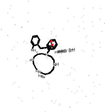 Br.Br.Br.Br.Br.Nc1ccccc1CN1Cc2ccc(cc2)C1N1CCCNCCNCCCNCC1